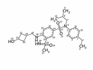 CCc1ccc(N(CC(C)C)S(=O)(=O)c2ccc(NCC3CC(O)C3)c(S(C)(=N)=O)c2)cc1